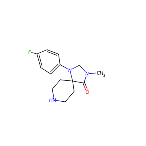 CN1CN(c2ccc(F)cc2)C2(CCNCC2)C1=O